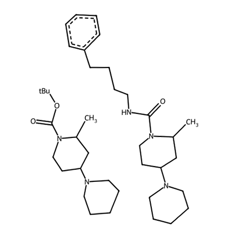 CC1CC(N2CCCCC2)CCN1C(=O)NCCCCc1ccccc1.CC1CC(N2CCCCC2)CCN1C(=O)OC(C)(C)C